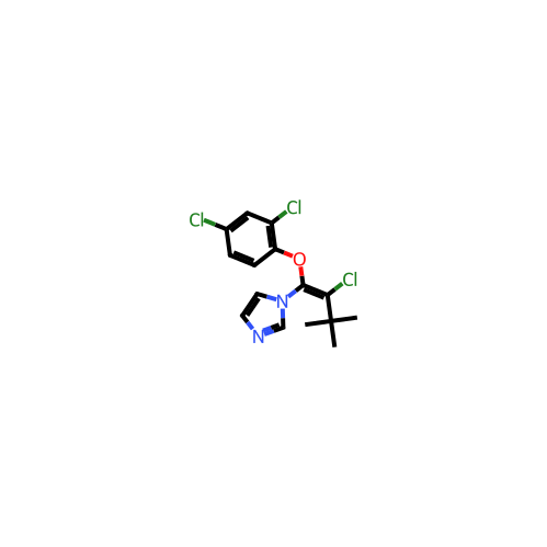 CC(C)(C)C(Cl)=C(Oc1ccc(Cl)cc1Cl)n1ccnc1